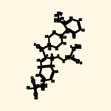 CCO[PH](=O)CCn1c(C(=O)N2CCN(c3ncccc3NC(C)C)CC2)cc2cc(NS(C)(=O)=O)ccc21